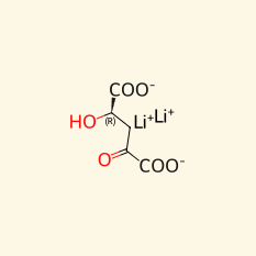 O=C([O-])C(=O)C[C@@H](O)C(=O)[O-].[Li+].[Li+]